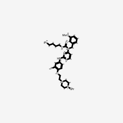 CCCN1CCN(CCOc2ccc(Nc3nccc(N(Cc4cccc(OC)c4)C(=O)OCCCCC(C)C)n3)cc2F)CC1